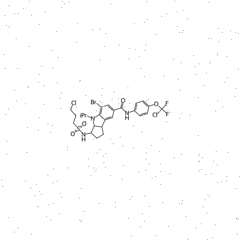 CC(C)N1c2c(Br)cc(C(=O)Nc3ccc(OC(F)(F)Cl)cc3)cc2C2CCC(NS(=O)(=O)CCCCl)C21